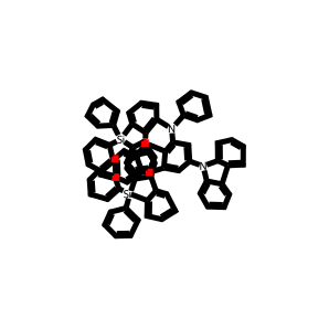 c1ccc(N2c3cc(-n4c5ccccc5c5ccccc54)cc4c3B(c3ccccc3N4c3ccccc3[Si](c3ccccc3)(c3ccccc3)c3ccccc3)c3c2cccc3[Si](c2ccccc2)(c2ccccc2)c2ccccc2)cc1